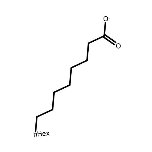 [CH2]CCCCCCCCCCCCC([O])=O